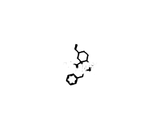 C=CC1CCC(NC(=O)OCc2ccccc2)C(NC(C)=O)(C(N)=O)C1